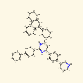 C1=C(c2ccccc2)CCC(c2nc(-c3ccc(-c4cccnc4)cc3)cc(-c3cccc(-c4cc5ccccc5c5ccccc45)c3)n2)=C1